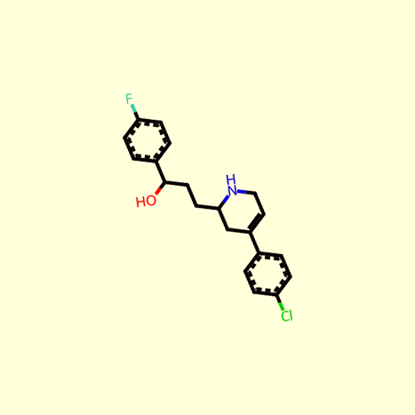 OC(CCC1CC(c2ccc(Cl)cc2)=CCN1)c1ccc(F)cc1